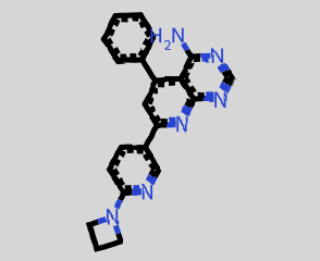 Nc1ncnc2nc(-c3ccc(N4CCC4)nc3)cc(-c3ccccc3)c12